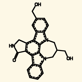 O=C1NCc2c1c1c3ccccc3n3c1c1c2c2cc(CO)ccc2n1CC(CO)C3